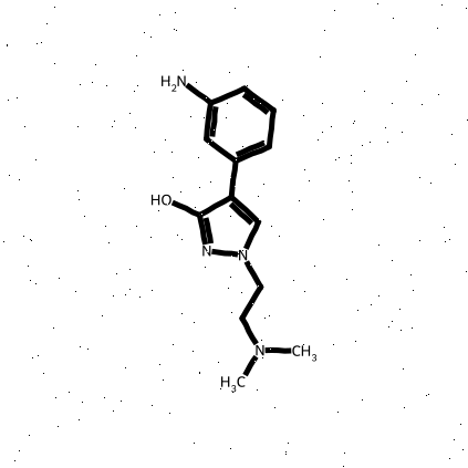 CN(C)CCn1cc(-c2cccc(N)c2)c(O)n1